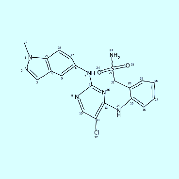 Cn1ncc2cc(Nc3ncc(Cl)c(Nc4ccccc4CS(N)(=O)=O)n3)ccc21